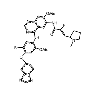 COc1cc2ncnc(Nc3cc(Br)c(Oc4ccn5ncnc5c4)cc3OC)c2cc1NC(=O)C(F)=CC1CCCN1C